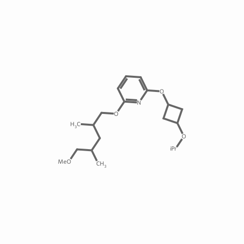 COCC(C)CC(C)COc1cccc(OC2CC(OC(C)C)C2)n1